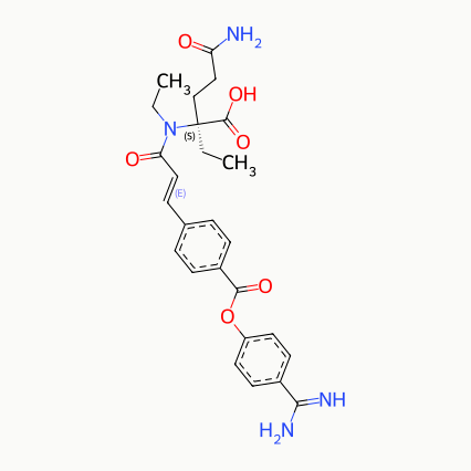 CCN(C(=O)/C=C/c1ccc(C(=O)Oc2ccc(C(=N)N)cc2)cc1)[C@@](CC)(CCC(N)=O)C(=O)O